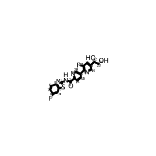 O=C(Nc1nc2ccc(F)cc2s1)c1ccc(-c2ncc([C@H](O)CO)cc2F)cn1